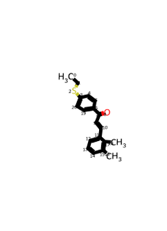 CCSc1ccc(C(=O)C=Cc2cccc(C)c2C)cc1